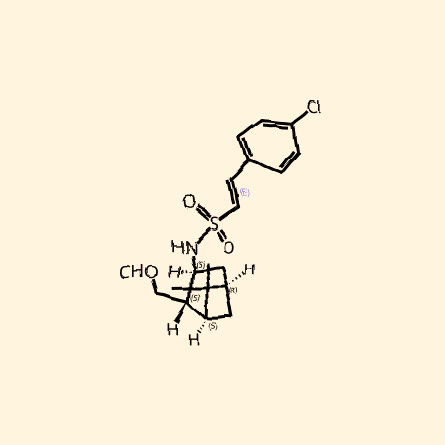 CC1(C)[C@H]2C[C@H](NS(=O)(=O)/C=C/c3ccc(Cl)cc3)[C@@H](CC=O)[C@@H]1C2